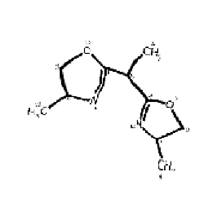 CC1COC(C(C)C2=NC(C)CO2)=N1